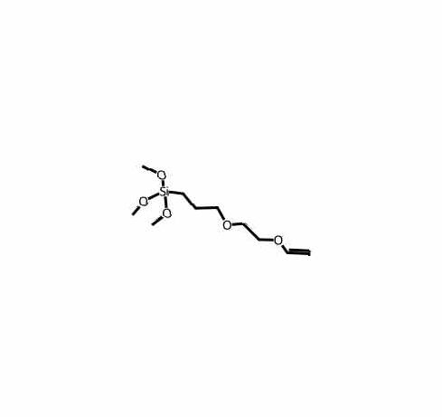 C=COCCOCCC[Si](OC)(OC)OC